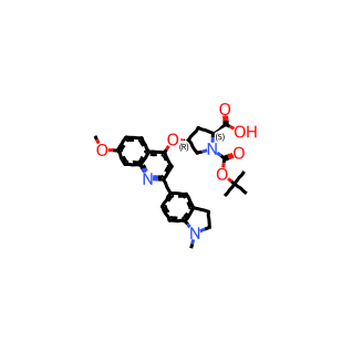 COc1ccc2c(O[C@@H]3C[C@@H](C(=O)O)N(C(=O)OC(C)(C)C)C3)cc(-c3ccc4c(c3)CCN4C)nc2c1